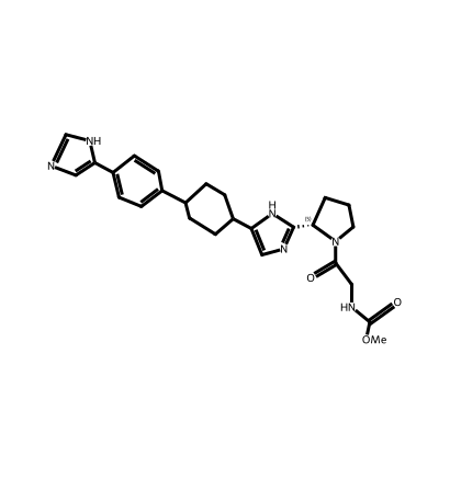 COC(=O)NCC(=O)N1CCC[C@H]1c1ncc(C2CCC(c3ccc(-c4cnc[nH]4)cc3)CC2)[nH]1